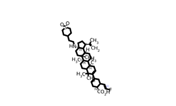 C=C(C)[C@@H]1CC[C@]2(NCCC3CCS(=O)(=O)CC3)CC[C@]3(C)[C@H](CCC4[C@@]5(C)CC=C(C6=CC[C@H](C(=O)O)C(/C=C/F)C6)C(C)(C)C5CC[C@]43C)C12